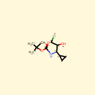 CC(C)(C)OC(=O)N[C@@H](C(O)CCl)C1CC1